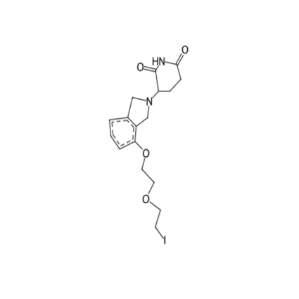 O=C1CCC(N2Cc3cccc(OCCOCCI)c3C2)C(=O)N1